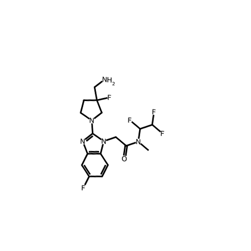 CN(C(=O)Cn1c(N2CCC(F)(CN)C2)nc2cc(F)ccc21)C(F)C(F)F